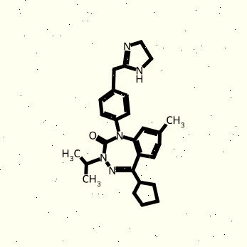 Cc1ccc2c(c1)N(c1ccc(CC3=NCCN3)cc1)C(=O)N(C(C)C)N=C2C1CCCC1